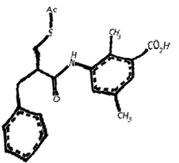 CC(=O)SCC(Cc1ccccc1)C(=O)Nc1cc(C)cc(C(=O)O)c1C